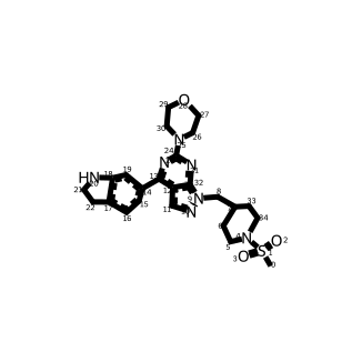 CS(=O)(=O)N1CCC(Cn2ncc3c(-c4ccc5c(c4)NCC5)nc(N4CCOCC4)nc32)CC1